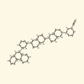 N#Cc1cccc(-c2ccc3cc(-c4ccc5cc(-c6cccc(-c7cc8ccccc8c8ccccc78)c6)ccc5c4)ccc3c2)c1